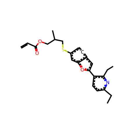 C=CC(=O)OCC(C)CSc1ccc2cc(-c3ccc(CC)nc3CC)oc2c1